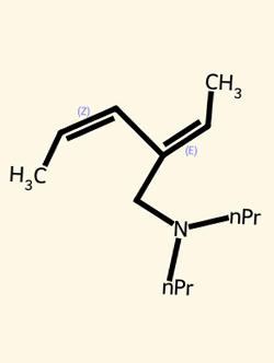 C/C=C\C(=C/C)CN(CCC)CCC